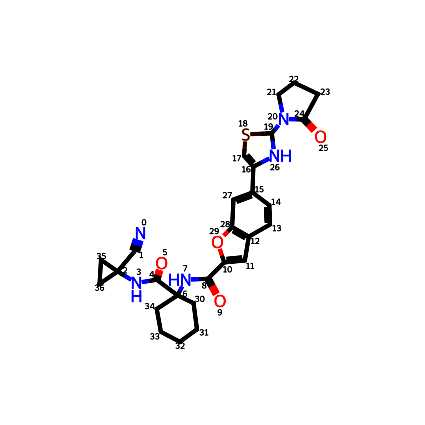 N#CC1(NC(=O)C2(NC(=O)c3cc4ccc(C5=CSC(N6CCCC6=O)N5)cc4o3)CCCCC2)CC1